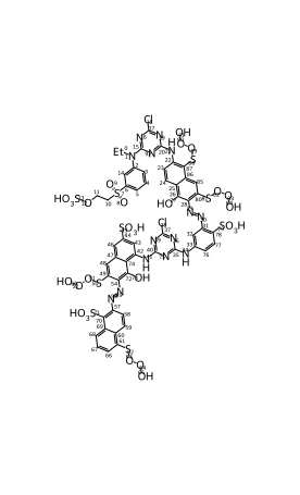 CCN(c1cccc(S(=O)(=O)CCOS(=O)(=O)O)c1)c1nc(Cl)nc(Nc2ccc3c(O)c(/N=N/c4cc(Nc5nc(Cl)nc(Nc6cc(S(=O)(=O)O)cc7cc(SOOO)c(/N=N/c8ccc9c(SOOO)cccc9c8S(=O)(=O)O)c(O)c67)n5)ccc4S(=O)(=O)O)c(SOOO)cc3c2SOOO)n1